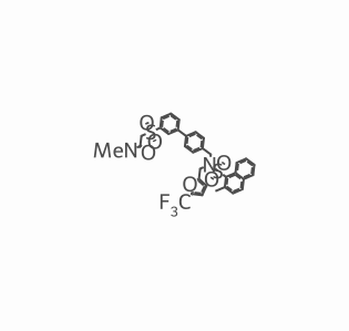 CNC(=O)CS(=O)(=O)c1cccc(-c2ccc(CN(Cc3ccc(C(F)(F)F)o3)S(=O)(=O)c3c(C)ccc4ccccc34)cc2)c1